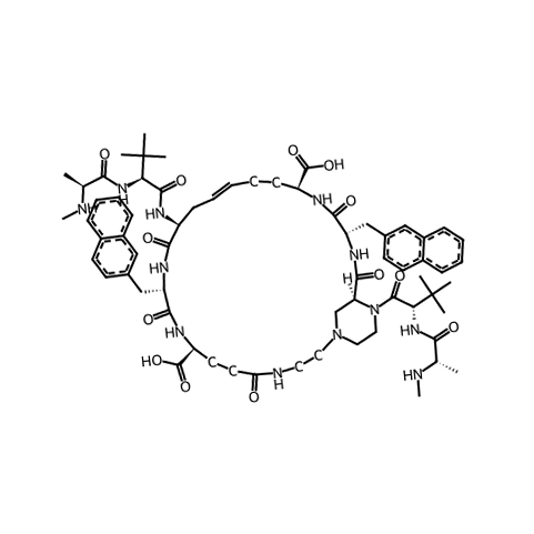 CN[C@@H](C)C(=O)N[C@H](C(=O)N[C@H]1C/C=C/CC[C@@H](C(=O)O)NC(=O)[C@H](Cc2ccc3ccccc3c2)NC(=O)[C@@H]2CN(CCNC(=O)CC[C@@H](C(=O)O)NC(=O)[C@H](Cc3ccc4ccccc4c3)NC1=O)CCN2C(=O)[C@@H](NC(=O)[C@H](C)NC)C(C)(C)C)C(C)(C)C